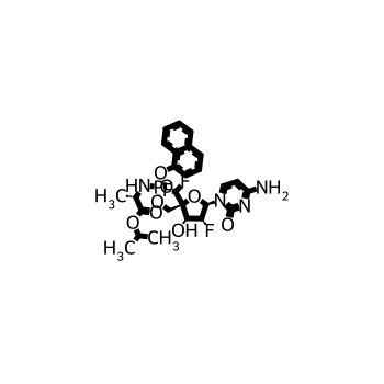 CC(C)OC(=O)[C@H](C)NP(=O)(OC[C@@]1(C(F)F)O[C@@H](n2ccc(N)nc2=O)[C@H](F)[C@@H]1O)Oc1cccc2ccccc12